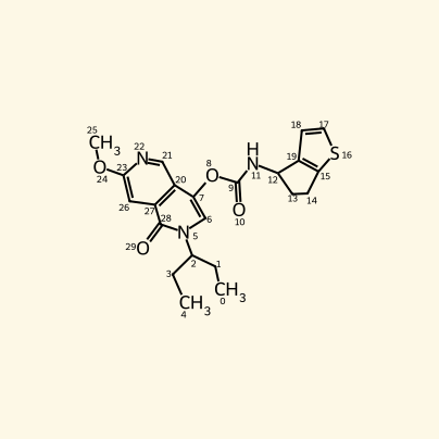 CCC(CC)n1cc(OC(=O)NC2CCc3sccc32)c2cnc(OC)cc2c1=O